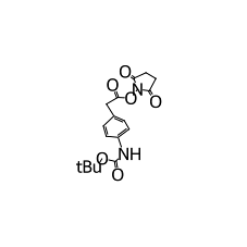 CC(C)(C)OC(=O)Nc1ccc(CC(=O)ON2C(=O)CCC2=O)cc1